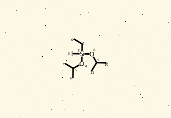 CC[Si](I)(OC(C)C)OC(C)C